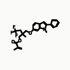 C=C(C)C(=O)OCC(C)(COc1ccc2cc(-c3ccccc3)n(C)c2c1)CC(F)(F)F